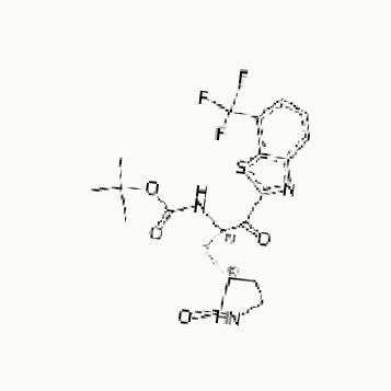 CC(C)(C)OC(=O)N[C@@H](C[C@@H]1CCNC1=O)C(=O)c1nc2cccc(C(F)(F)F)c2s1